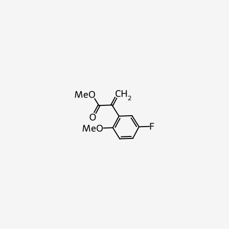 C=C(C(=O)OC)c1cc(F)ccc1OC